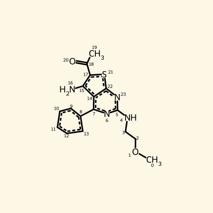 COCCNc1nc(-c2ccccc2)c2c(N)c(C(C)=O)sc2n1